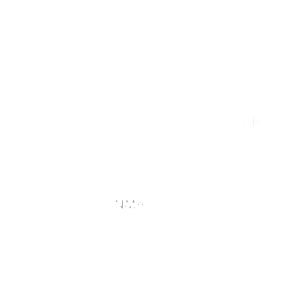 CNC(c1[c]cccc1)c1ccc(C)cc1